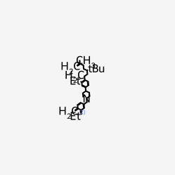 C=C(C)CCC(CC(=C)c1ccc(C2CCN(Cc3ccc(=C)/c(=C\CC)c3)CC2)cc1CC)C(C)(C)C